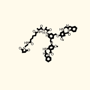 COc1cc2c(cc1OCc1cc(COc3cc4c(cc3OC)C(=O)N3c5ccccc5C[C@H]3CN4)cc(NC(=O)C(C)NC(=O)C(C)NC(=O)CCCCC(=O)NCCN3C(=O)C=CC3=O)c1)NC[C@@H]1Cc3ccccc3N1C2=O